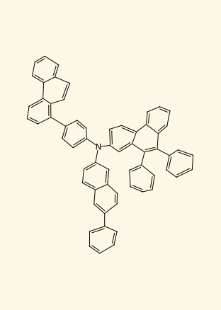 c1ccc(-c2ccc3cc(N(c4ccc(-c5cccc6c5ccc5ccccc56)cc4)c4ccc5c(c4)c(-c4ccccc4)c(-c4ccccc4)c4ccccc45)ccc3c2)cc1